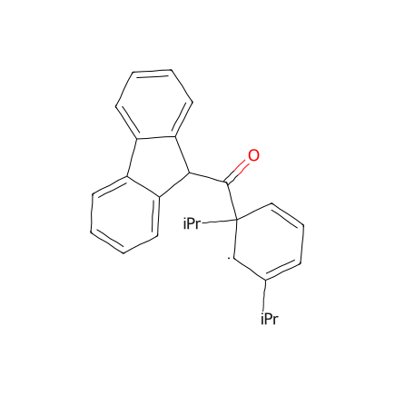 CC(C)C1=CC=CC(C(=O)C2c3ccccc3-c3ccccc32)(C(C)C)[CH]1